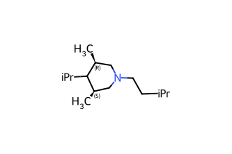 CC(C)CCN1C[C@@H](C)C(C(C)C)[C@@H](C)C1